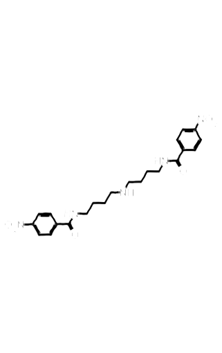 O=C(NCCCCNCCCCNC(=O)c1ccc([N+](=O)[O-])cc1)c1ccc([N+](=O)[O-])cc1